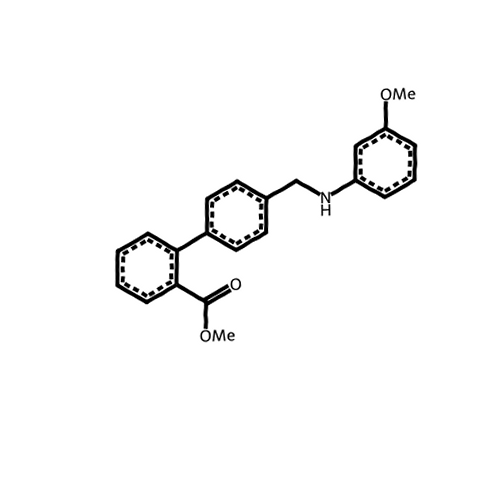 COC(=O)c1ccccc1-c1ccc(CNc2cccc(OC)c2)cc1